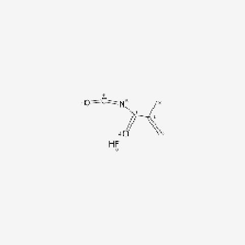 C=C(C)C(=O)N=C=O.F